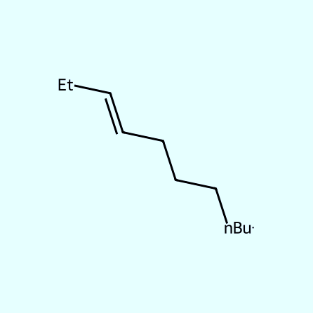 CC/C=C/CCC[CH]CCC